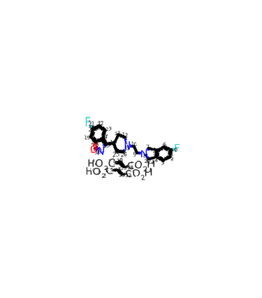 Fc1ccc2c(c1)CN(CCN1CCC(c3noc4cc(F)ccc34)CC1)C2.O=C(O)/C=C/C(=O)O.O=C(O)/C=C/C(=O)O